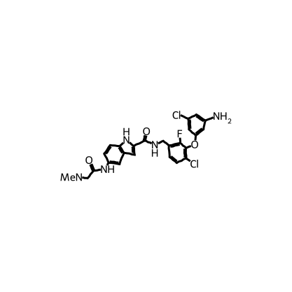 CNCC(=O)Nc1ccc2[nH]c(C(=O)NCc3ccc(Cl)c(Oc4cc(N)cc(Cl)c4)c3F)cc2c1